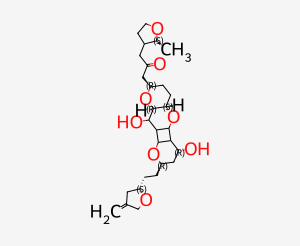 C=C1CO[C@@H](CC[C@@H]2C[C@@H](O)C3C(O2)C2C3O[C@H]3CC[C@H](CC(=O)CC4CCO[C@H]4C)O[C@@H]3C2O)C1